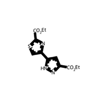 CCOC(=O)c1cc(-c2csc(C(=O)OCC)n2)[nH]n1